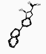 O=C(O)C1Cc2ccc(-c3ccc4ccccc4c3)cc2N1O